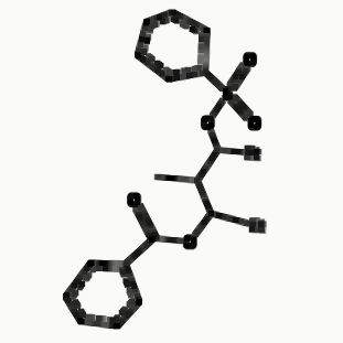 CCC(OC(=O)c1ccccc1)C(C)C(CC)OS(=O)(=O)c1ccccc1